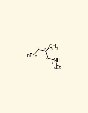 CCCC[C@@H](C)CNCC